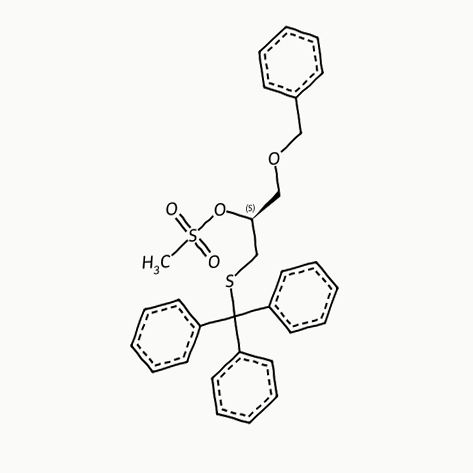 CS(=O)(=O)O[C@@H](COCc1ccccc1)CSC(c1ccccc1)(c1ccccc1)c1ccccc1